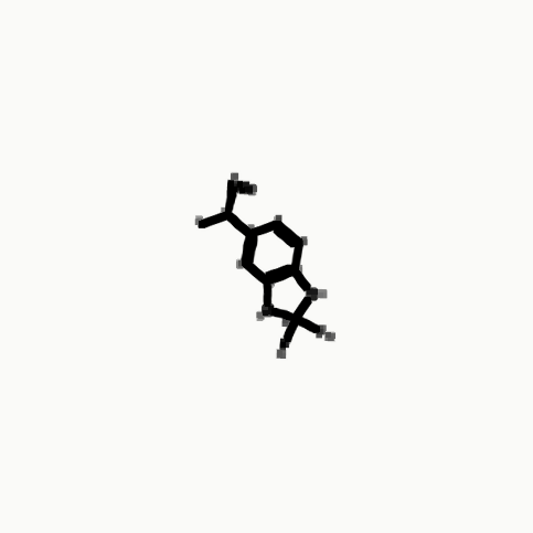 CN[C@H](C)c1ccc2c(c1)OC(F)(F)O2